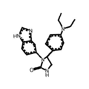 CCN(CC)c1ccc(C2CNC(=O)N2c2ccc3[nH]cnc3c2)cc1